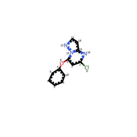 Clc1cc(Oc2ccccc2)n2nccc2n1